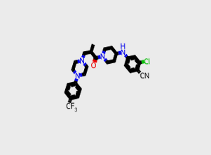 CC(CN1CCN(c2ccc(C(F)(F)F)cc2)CC1)C(=O)N1CCC(Nc2ccc(C#N)c(Cl)c2)CC1